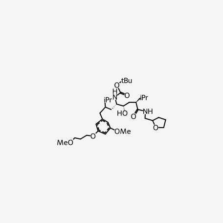 COCCCOc1cc(CC(C[C@H](NC(=O)OC(C)(C)C)[C@@H](O)C[C@H](C(=O)NCC2CCCO2)C(C)C)C(C)C)cc(OC)c1